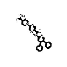 O=C(Nc1cc(-c2ccccc2)c(-c2ccccc2)cn1)c1cnc(N2CCC(C(=O)O)CC2)cn1